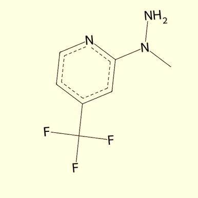 CN(N)c1cc(C(F)(F)F)ccn1